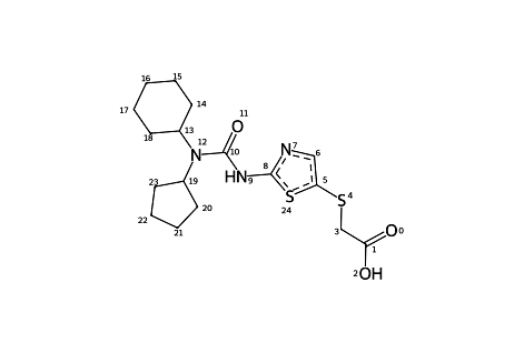 O=C(O)CSc1cnc(NC(=O)N(C2CCCCC2)C2CCCC2)s1